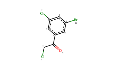 O=C(CCl)c1cc(Cl)cc(Br)c1